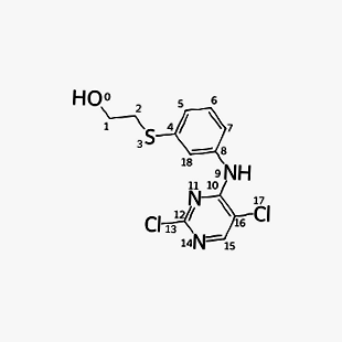 OCCSc1cccc(Nc2nc(Cl)ncc2Cl)c1